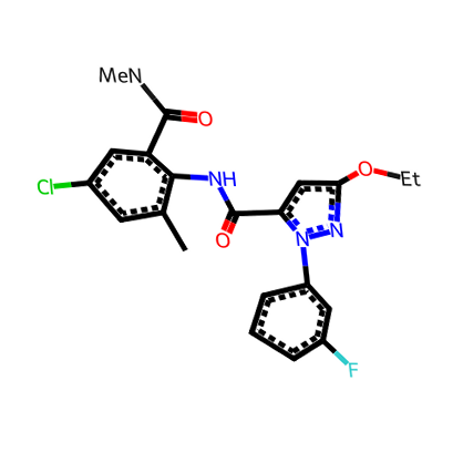 CCOc1cc(C(=O)Nc2c(C)cc(Cl)cc2C(=O)NC)n(-c2cccc(F)c2)n1